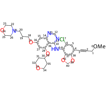 COCC#Cc1cc(Cl)c(Nc2ncnc3cc(OCCCN4CCOCC4)cc(OC4CCOCC4)c23)c2c1OCO2